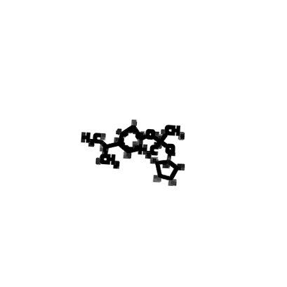 C=C(C)c1ccc(OC(C)(C)OC2CCCC2)cc1